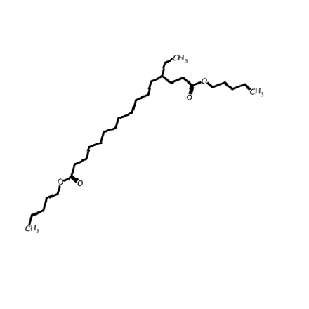 CCCCCOC(=O)CCCCCCCCCCCC(CC)CCC(=O)OCCCCC